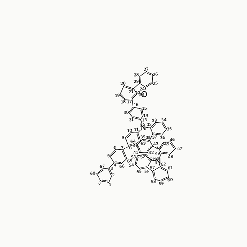 c1ccc(-c2ccc(-c3ccc(N(c4ccc(-c5cccc6c5oc5ccccc56)cc4)c4ccccc4-c4ccccc4-c4ccccc4-n4c5ccccc5c5ccccc54)cc3)cc2)cc1